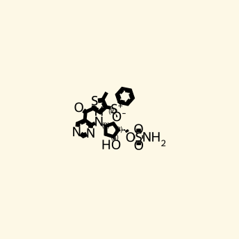 Cc1sc(C(=O)c2cncnc2N[C@@H]2C[C@H](COS(N)(=O)=O)[C@@H](O)C2)cc1[S@@+]([O-])c1ccccc1